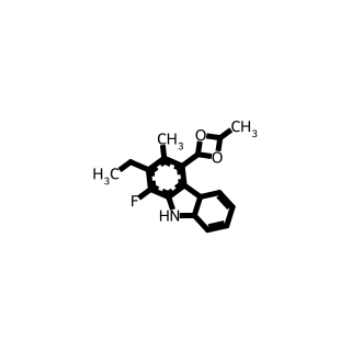 CCc1c(C)c(C2OC(C)O2)c2c(c1F)NC1C=CC=CC21